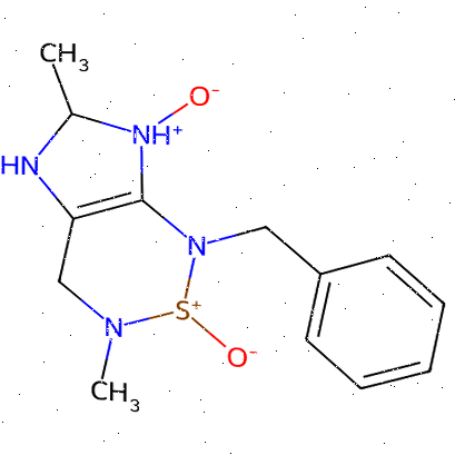 CC1NC2=C(N(Cc3ccccc3)[S+]([O-])N(C)C2)[NH+]1[O-]